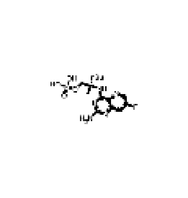 CCCC[C@](C)(COP(=O)(O)O)Nc1nc(N)nc2cc(F)cnc12